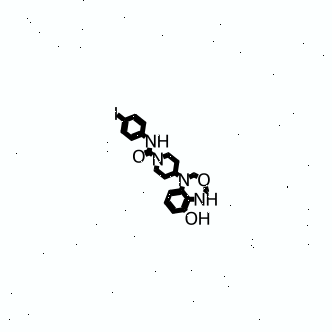 O=C(Nc1ccc(I)cc1)N1CCC(N2COCNc3c(O)cccc32)CC1